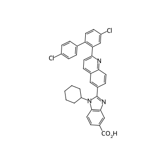 O=C(O)c1ccc2c(c1)nc(-c1ccc3nc(-c4cc(Cl)ccc4-c4ccc(Cl)cc4)ccc3c1)n2C1CCCCC1